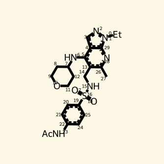 CCn1ncc2c(NC3CCOCC3)c(CNS(=O)(=O)c3ccc(NC(C)=O)cc3)c(C)nc21